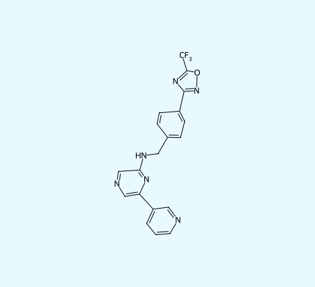 FC(F)(F)c1nc(-c2ccc(CNc3cncc(-c4cccnc4)n3)cc2)no1